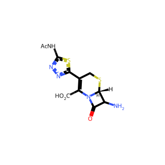 CC(=O)Nc1nnc(C2=C(C(=O)O)N3C(=O)C(N)[C@H]3SC2)s1